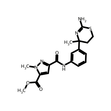 COC(=O)c1cc(C(=O)Nc2cccc(C3(C)CCSC(N)=N3)c2)nn1C